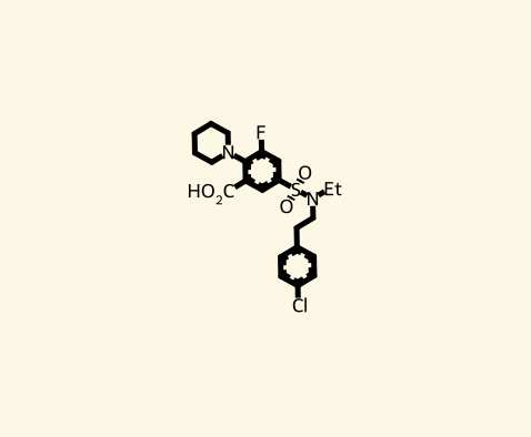 CCN(CCc1ccc(Cl)cc1)S(=O)(=O)c1cc(F)c(N2CCCCC2)c(C(=O)O)c1